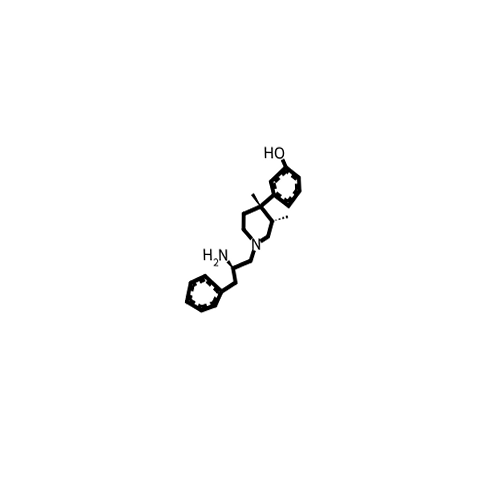 C[C@@H]1CN(C[C@H](N)Cc2ccccc2)CC[C@]1(C)c1cccc(O)c1